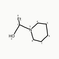 CCC(O)N1CCCCC1